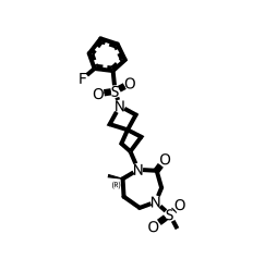 C[C@@H]1CCN(S(C)(=O)=O)CC(=O)N1C1CC2(C1)CN(S(=O)(=O)c1ccccc1F)C2